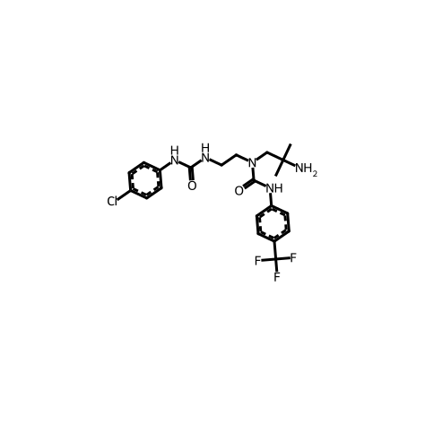 CC(C)(N)CN(CCNC(=O)Nc1ccc(Cl)cc1)C(=O)Nc1ccc(C(F)(F)F)cc1